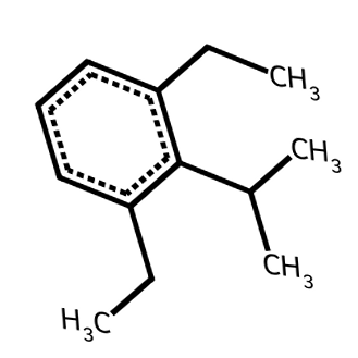 CCc1cccc(CC)c1C(C)C